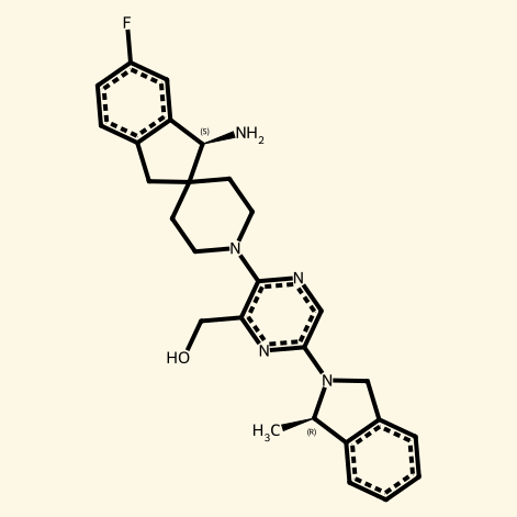 C[C@@H]1c2ccccc2CN1c1cnc(N2CCC3(CC2)Cc2ccc(F)cc2[C@H]3N)c(CO)n1